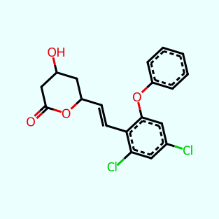 O=C1CC(O)CC(C=Cc2c(Cl)cc(Cl)cc2Oc2ccccc2)O1